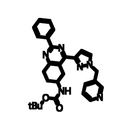 CC(C)(C)OC(=O)NC1CCc2nc(-c3ccccc3)nc(-c3ccn(Cc4cccnc4)n3)c2C1